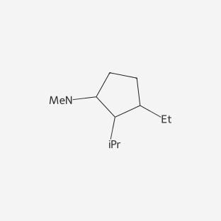 CCC1CCC(NC)C1C(C)C